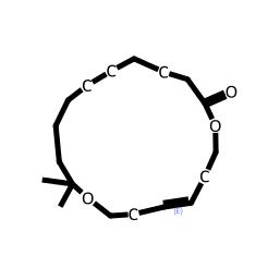 CC1(C)CCCCCCCCC(=O)OCC/C=C/CCO1